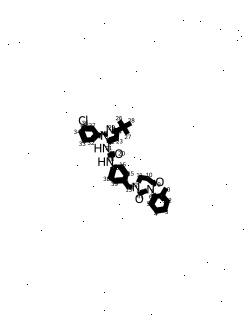 Cc1ccccc1N1C(=O)CCN(Cc2ccc(NC(=O)Nc3cc(C(C)(C)C)nn3-c3cccc(Cl)c3)cc2)C1=O